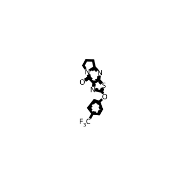 O=c1c2nc(Oc3ccc(C(F)(F)F)cc3)sc2nc2n1CCC2